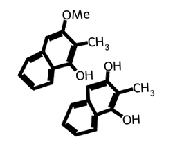 COc1cc2ccccc2c(O)c1C.Cc1c(O)cc2ccccc2c1O